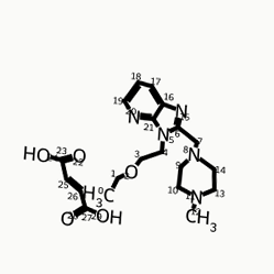 CCOCCn1c(CN2CCN(C)CC2)nc2cccnc21.O=C(O)C=CC(=O)O